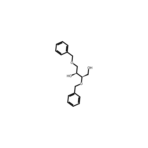 OC[C@@H](OCc1ccccc1)[C@@H](O)COCc1ccccc1